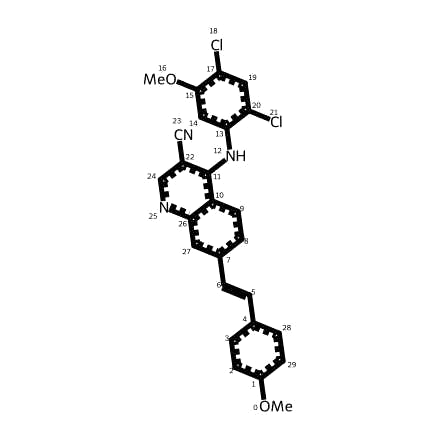 COc1ccc(/C=C/c2ccc3c(Nc4cc(OC)c(Cl)cc4Cl)c(C#N)cnc3c2)cc1